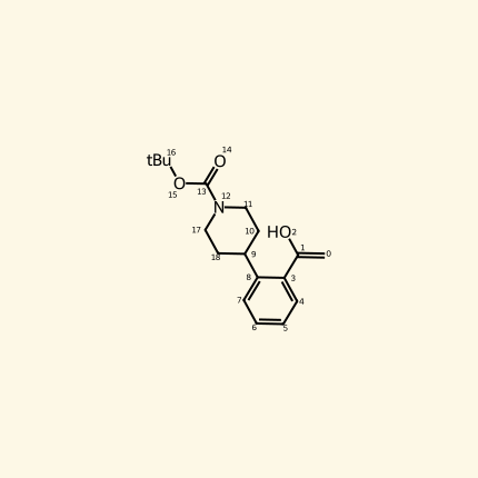 C=C(O)c1ccccc1C1CCN(C(=O)OC(C)(C)C)CC1